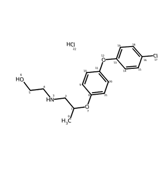 CC(CNCCO)Oc1ccc(Oc2ccc(Cl)cc2)cc1.Cl